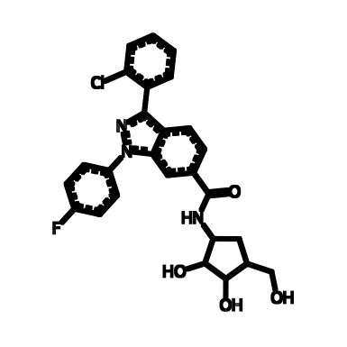 O=C(NC1CC(CO)C(O)C1O)c1ccc2c(-c3ccccc3Cl)nn(-c3ccc(F)cc3)c2c1